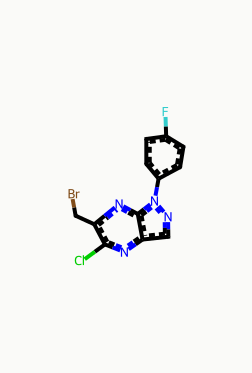 Fc1ccc(-n2ncc3nc(Cl)c(CBr)nc32)cc1